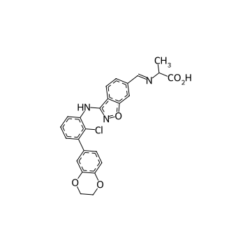 CC(N=Cc1ccc2c(Nc3cccc(-c4ccc5c(c4)OCCO5)c3Cl)noc2c1)C(=O)O